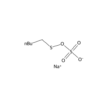 CCCCCSOS(=O)(=O)[O-].[Na+]